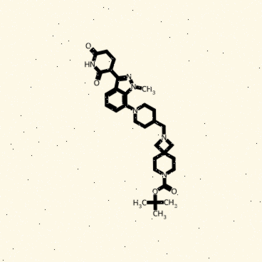 Cn1nc(C2CCC(=O)NC2=O)c2cccc(N3CCC(CN4CC5(CCN(C(=O)OC(C)(C)C)CC5)C4)CC3)c21